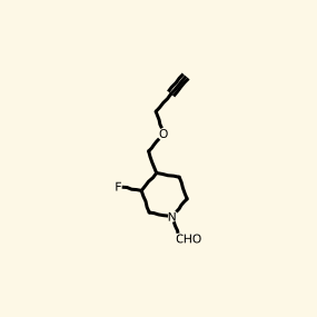 C#CCOCC1CCN(C=O)CC1F